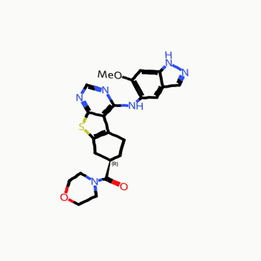 COc1cc2[nH]ncc2cc1Nc1ncnc2sc3c(c12)CC[C@@H](C(=O)N1CCOCC1)C3